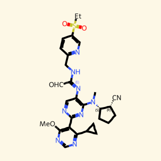 CCS(=O)(=O)c1ccc(CN/C(C=O)=N/c2cnc(-c3c(OC)ncnc3C3CC3)nc2N(C)[C@H]2CCC[C@H]2C#N)nc1